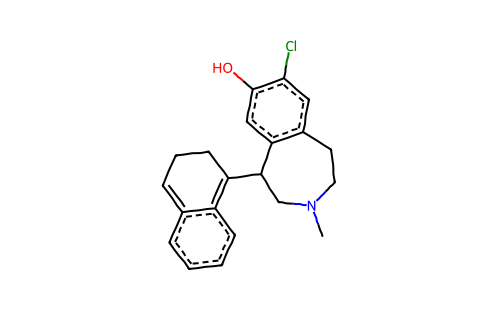 CN1CCc2cc(Cl)c(O)cc2C(C2=c3ccccc3=CCC2)C1